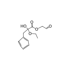 CCOC(O)(Cc1ccccc1)C(=O)OCC=O